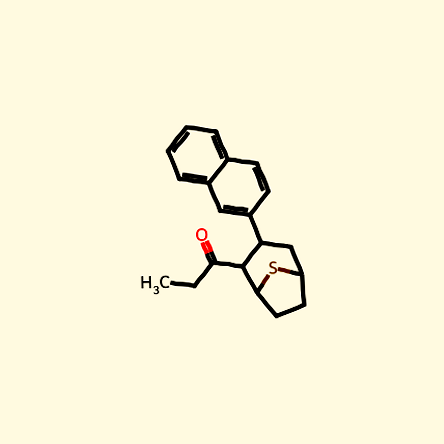 CCC(=O)C1C2CCC(CC1c1ccc3ccccc3c1)S2